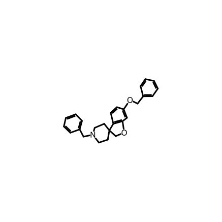 c1ccc(COc2ccc3c(c2)OCC32CCN(Cc3ccccc3)CC2)cc1